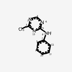 Clc1ncnc(Nc2ccccc2)n1